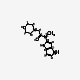 CN(C(=O)CN1CCOCC1)c1cc2[nH]ccc2s1